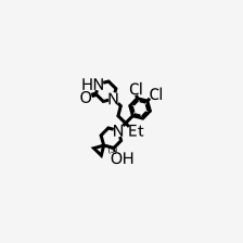 CCC(CCN1CCNC(=O)C1)(c1ccc(Cl)c(Cl)c1)N1CCC2(CC2)[C@H](O)C1